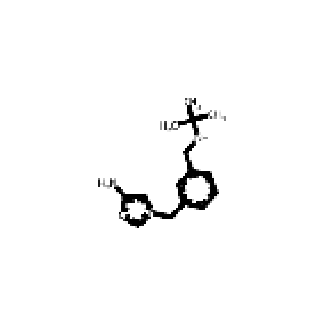 CC(C)(C)NCc1cccc(Cn2cnc(N)c2)c1